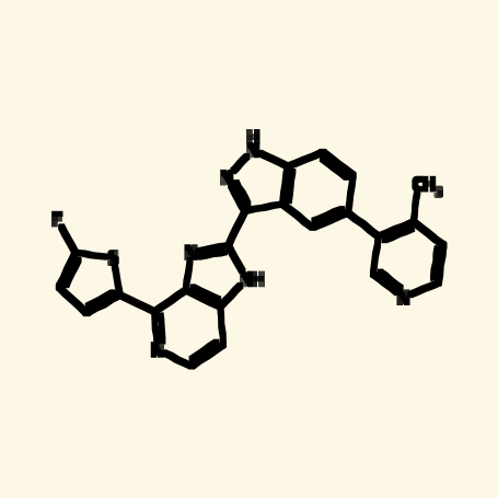 Cc1ccncc1-c1ccc2[nH]nc(-c3nc4c(-c5ccc(F)s5)nccc4[nH]3)c2c1